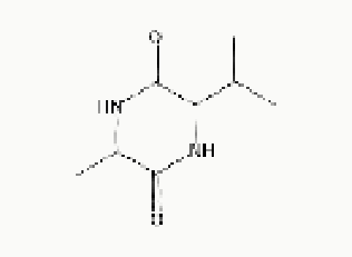 CC1NC(=O)C(C(C)C)NC1=O